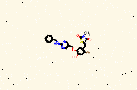 CN1C(=O)S/C(=C\c2cc(OCc3cnc(NCc4ccccc4)nc3)c(O)cc2Br)C1=O